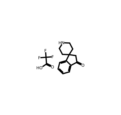 O=C(O)C(F)(F)F.O=C1CC2(CCNCC2)c2ccccc21